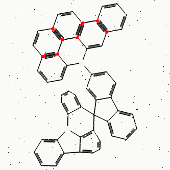 c1ccc(-c2cccc(-c3ccccc3N(c3ccc4c(c3)C3(c5ccccc5-4)c4ccccc4-n4c5ccccc5c5cccc3c54)c3ccccc3-c3ccccc3)c2)cc1